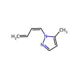 C=C/C=C\n1nccc1C